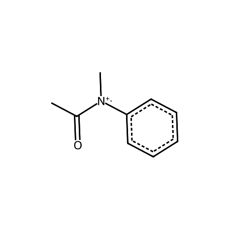 CC(=O)[N+](C)c1ccccc1